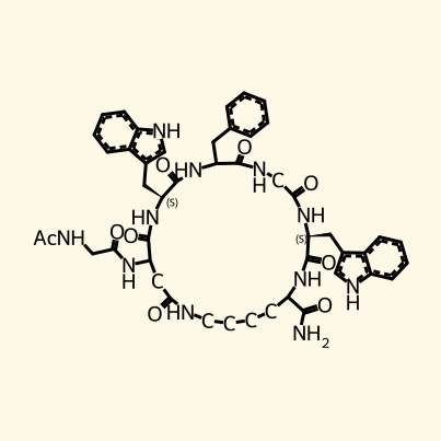 CC(=O)NCC(=O)NC1CC(=O)NCCCCC(C(N)=O)NC(=O)[C@H](Cc2c[nH]c3ccccc23)NC(=O)CNC(=O)C(Cc2ccccc2)NC(=O)[C@H](Cc2c[nH]c3ccccc23)NC1=O